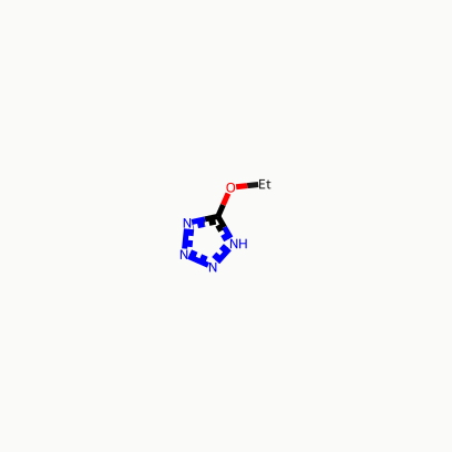 CCOc1nnn[nH]1